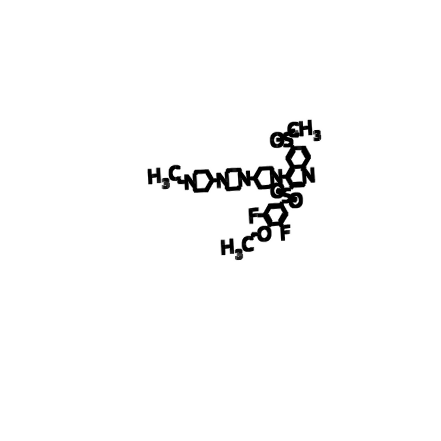 CCOc1c(F)cc(S(=O)(=O)c2cnc3ccc([S+](C)[O-])cc3c2N2CCC(N3CCN(C4CCN(CC)CC4)CC3)CC2)cc1F